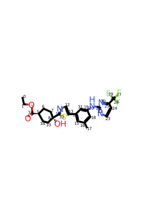 CCOC(=O)[C@H]1CC[C@@](O)(c2ncc(-c3cc(C)cc(Nc4nccc(C(F)(F)F)n4)c3)s2)CC1